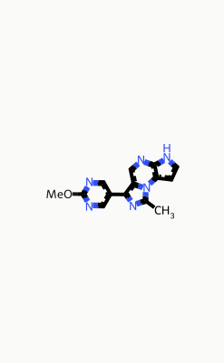 COc1ncc(-c2nc(C)n3c2cnc2[nH]ccc23)cn1